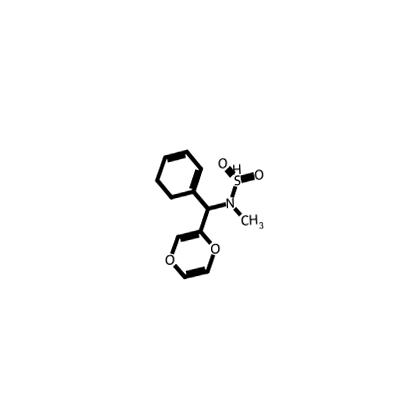 CN(C(C1=CC=CCC1)C1=COC=CO1)[SH](=O)=O